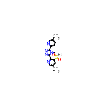 CCS(=O)(=O)c1cc(C(F)(F)F)cnc1-c1nnc(-c2ccc(C(F)(F)F)cn2)n1C